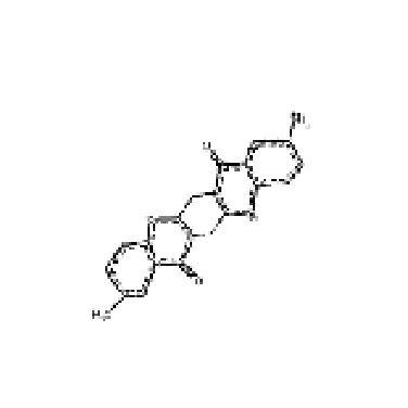 Cc1ccc2nc3c(c(=O)n2c1)Cc1nc2ccc(C)cn2c(=O)c1C3